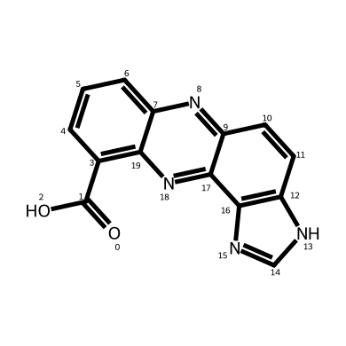 O=C(O)c1cccc2nc3ccc4[nH]cnc4c3nc12